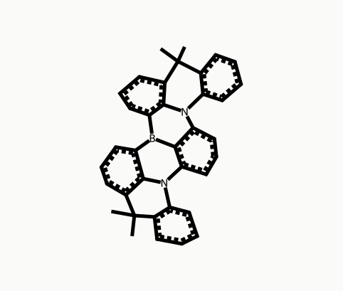 CC1(C)c2ccccc2N2c3cccc4c3B(c3cccc1c32)c1cccc2c1N4c1ccccc1C2(C)C